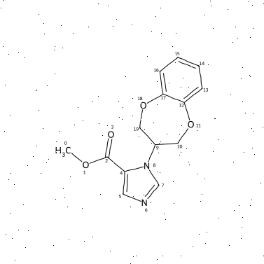 COC(=O)c1cncn1C1COc2ccccc2OC1